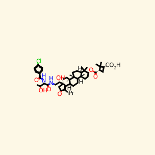 CC(C)C1=C2[C@H]3CC[C@@H]4[C@@]5(C)CC[C@H](OC(=O)[C@H]6C[C@@H](C(=O)O)C6(C)C)C(C)(C)[C@@H]5CC[C@@]4(C)[C@]3(C)CC[C@@]2([C@@H](O)CNC(=O)[C@H](NC(=O)c2ccc(Cl)cc2)C(C)O)CC1=O